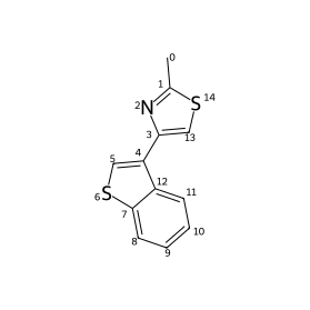 Cc1nc(-c2csc3ccccc23)cs1